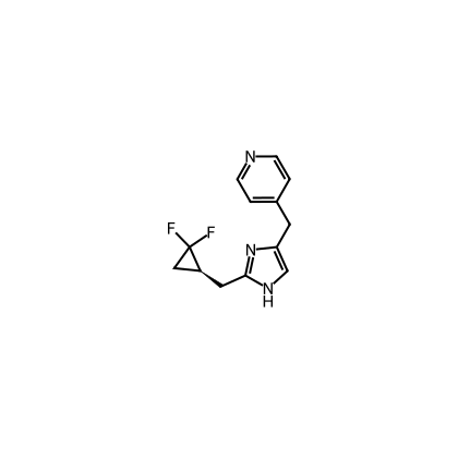 FC1(F)C[C@@H]1Cc1nc(Cc2ccncc2)c[nH]1